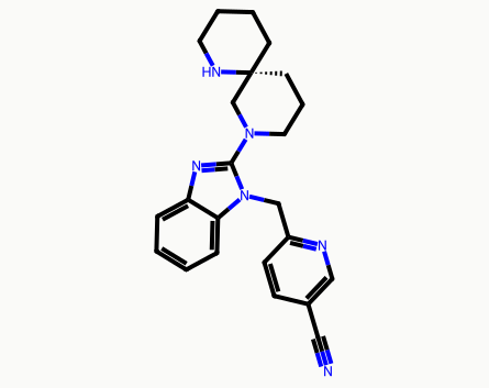 N#Cc1ccc(Cn2c(N3CCC[C@]4(CCCCN4)C3)nc3ccccc32)nc1